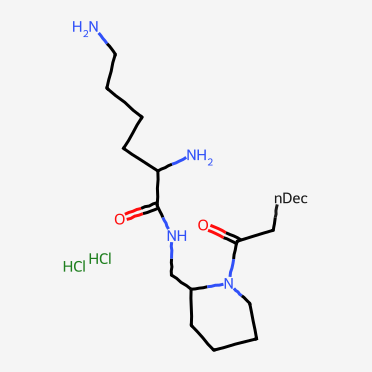 CCCCCCCCCCCC(=O)N1CCCCC1CNC(=O)C(N)CCCCN.Cl.Cl